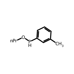 CCCOPc1cccc(C)c1